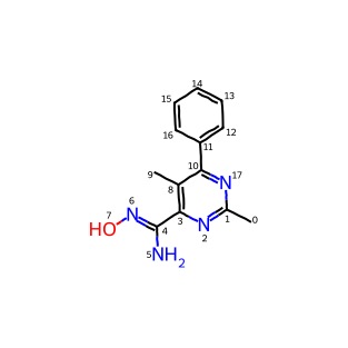 Cc1nc(C(N)=NO)c(C)c(-c2ccccc2)n1